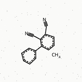 C.N#Cc1cccc(-c2ccccc2)c1C#N